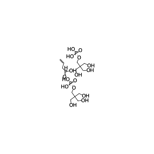 C=CC[PH](=O)O.O=P(O)(O)OCC(CO)(CO)CO.O=P(O)(O)OCC(CO)(CO)CO